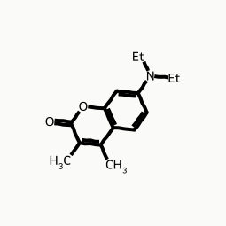 CCN(CC)c1ccc2c(C)c(C)c(=O)oc2c1